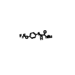 CCCCC(=O)NSc1ccc(OC(F)(F)F)cc1